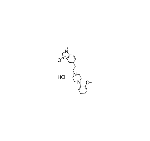 COc1ccccc1N1CCN(CCc2ccc3c(c2)[S+]([O-])CN3C)CC1.Cl